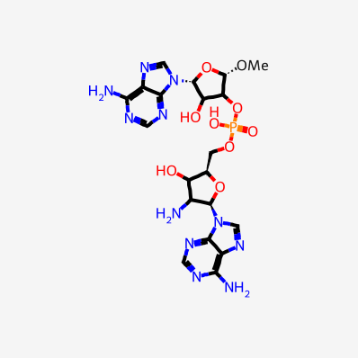 CO[C@H]1O[C@@H](n2cnc3c(N)ncnc32)C(O)C1OP(=O)(O)OC[C@H]1O[C@@H](n2cnc3c(N)ncnc32)C(N)C1O